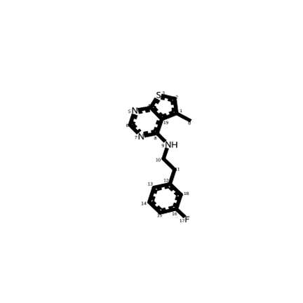 Cc1csc2ncnc(NCCc3cccc(F)c3)c12